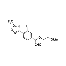 COCCOC(C=O)c1ccc(-c2noc(C(F)(F)F)n2)c(F)c1